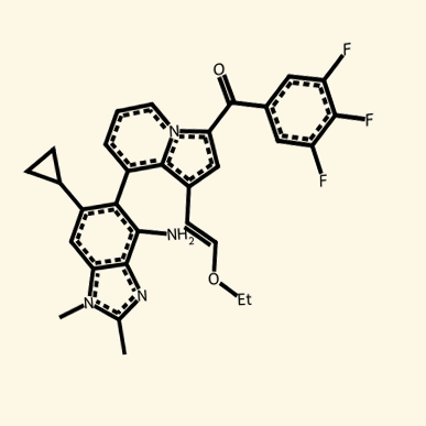 CCOC=Cc1cc(C(=O)c2cc(F)c(F)c(F)c2)n2cccc(-c3c(C4CC4)cc4c(nc(C)n4C)c3N)c12